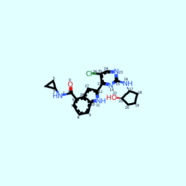 O=C(NC1CC1)c1cccc2[nH]c(-c3nc(N[C@@H]4CCC[C@H]4O)ncc3Cl)cc12